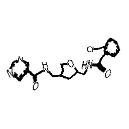 O=C(NCC1COC(CNC(=O)c2ccccc2Cl)C1)c1cncnc1